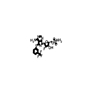 Nc1ncnc2c1c(Sc1cccc(C(F)(F)F)c1)nn2[C@@H]1O[C@H](COS(N)(=O)=O)[C@@H](O)[C@@H]1F